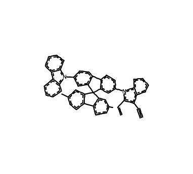 C#Cc1c(C=C)n(-c2ccc3c(c2)C2(c4cc(C)ccc4-c4ccc(C)cc42)c2cc(-n4c5ccccc5c5ccccc54)ccc2-3)c2ccccc12